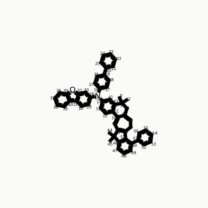 CC1(C)CC2=CCC3=C(C=C2c2ccc(N(c4ccc(-c5ccccc5)cc4)c4ccc5c(c4)oc4ccccc45)cc21)C(C)(C)c1cccc(-c2ccccc2)c13